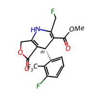 COC(=O)C1=C(CF)NC2=C(C(=O)OC2)[C@H]1c1cccc(F)c1C(F)(F)F